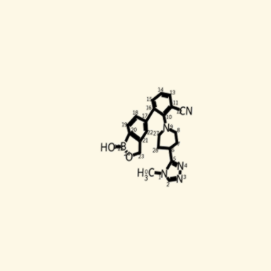 Cn1cnnc1C1CCN(c2c(C#N)cccc2-c2ccc3c(c2)COB3O)CC1